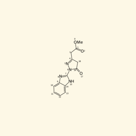 COC(=O)CC1=NN(c2nc3ccccc3[nH]2)C(=O)C1